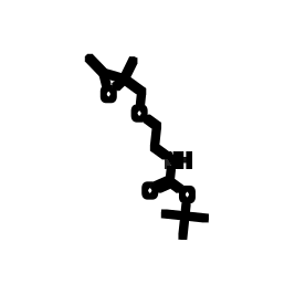 CC1OC1(C)COCCNC(=O)OC(C)(C)C